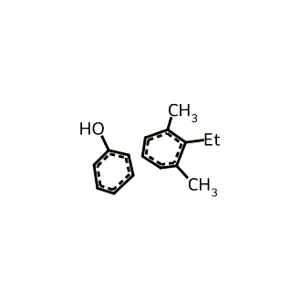 CCc1c(C)cccc1C.Oc1ccccc1